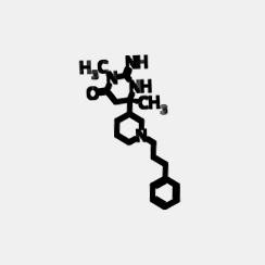 CN1C(=N)N[C@](C)(C2CCCN(CCCc3ccccc3)C2)CC1=O